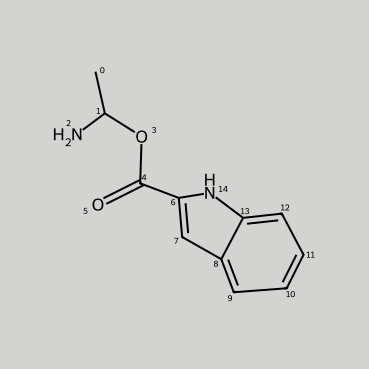 CC(N)OC(=O)c1cc2ccccc2[nH]1